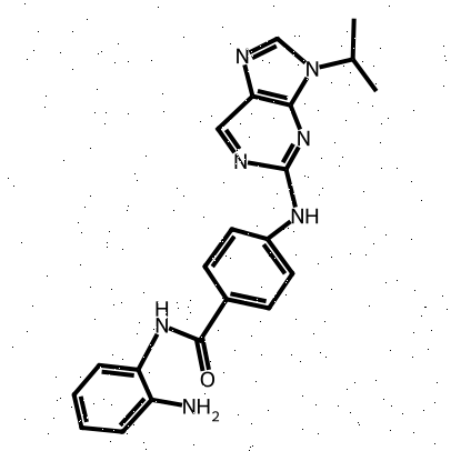 CC(C)n1cnc2cnc(Nc3ccc(C(=O)Nc4ccccc4N)cc3)nc21